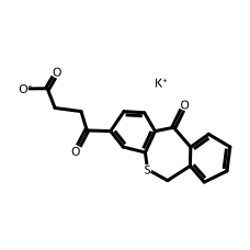 O=C([O-])CCC(=O)c1ccc2c(c1)SCc1ccccc1C2=O.[K+]